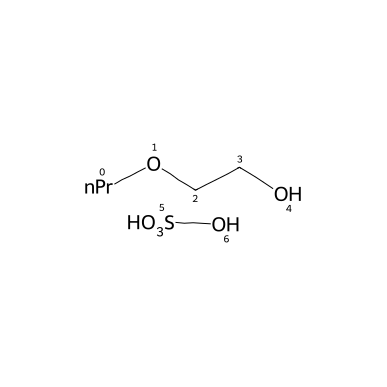 CCCOCCO.O=S(=O)(O)O